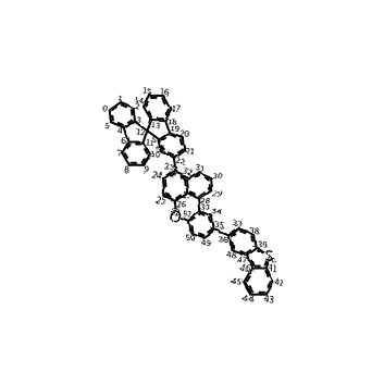 c1ccc2c(c1)-c1ccccc1C21c2ccccc2-c2ccc(-c3ccc4c5c(cccc35)-c3cc(-c5ccc6sc7ccccc7c6c5)ccc3O4)cc21